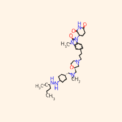 CCCC(CC)NN[C@H]1CC[C@H](CN(C)C[C@@H]2CN(CCCc3ccc4c(c3)n(C)c(=O)n4C3CCC(=O)NC3=O)CCO2)CC1